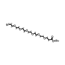 CC(C)(C)OC(=O)CCOCCOCCOCCOCCOCCOCCBr